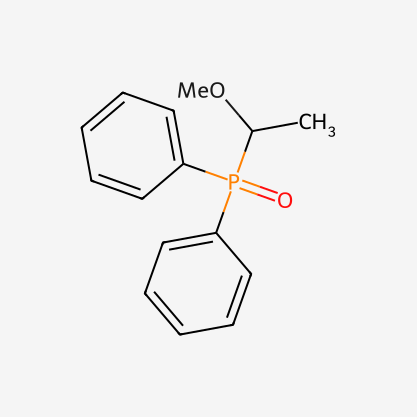 COC(C)P(=O)(c1ccccc1)c1ccccc1